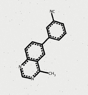 [C-]#[N+]c1cccc(-c2ccc3ncnc(C)c3c2)c1